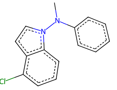 CN(c1ccccc1)n1ccc2c(Cl)cccc21